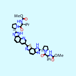 COC(=O)N[C@H](C(=O)N1CCC[C@H]1c1nc2ccc3cc(-c4nc5ccc6nc([C@@H]7CCCN7C(=O)[C@@H](NC(=O)OC)C(C)C)[nH]c6c5s4)cnc3c2[nH]1)C(C)C